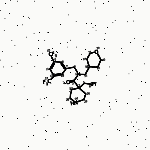 CC(C)CC1(C(=O)N(Cc2cc(C(F)(F)F)cc(C(F)(F)F)c2)CC2CCOCC2)CCNCC1